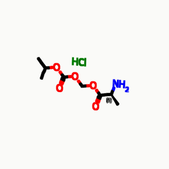 CC(C)OC(=O)OCOC(=O)[C@H](C)N.Cl